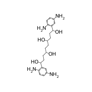 Nc1ccc(N)c(C(O)CCC(O)CCC(O)CCC(O)c2cc(N)ccc2N)c1